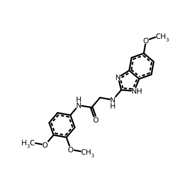 COc1ccc2[nH]c(NCC(=O)Nc3ccc(OC)c(OC)c3)nc2c1